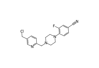 N#Cc1ccc(N2CCN(Cc3ccc(CCl)cn3)CC2)c(F)c1